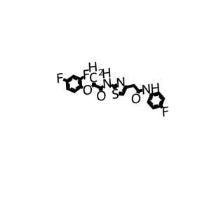 C=C(Oc1ccc(F)cc1F)C(=O)Nc1nc(CC(=O)Nc2ccc(F)cc2)cs1